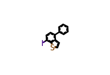 Ic1ccc(-c2ccccc2)c2ccsc12